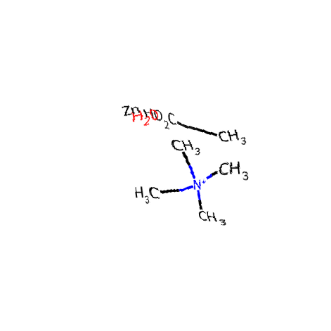 CC(=O)O.C[N+](C)(C)C.O.[Zn]